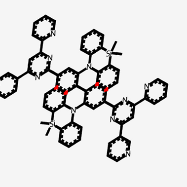 C[Si]1(C)c2ccccc2N(c2cc(-c3nc(-c4cccnc4)cc(-c4ccccn4)n3)ccc2-c2ccc(-c3nc(-c4cccnc4)cc(-c4ccccn4)n3)cc2N2c3ccccc3[Si](C)(C)c3ccccc32)c2ccccc21